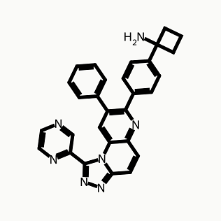 NC1(c2ccc(-c3nc4ccc5nnc(-c6cnccn6)n5c4cc3-c3ccccc3)cc2)CCC1